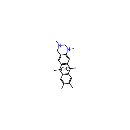 Cc1cc2c(cc1C)C1(C)CCC2(C)c2cc3c(cc21)N(C)CN(C)C3